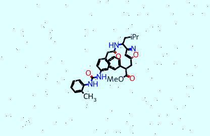 COC(=O)C(Cc1cc(C(CC(C)C)NC(=O)Cc2ccc(NC(=O)Nc3ccccc3C)cc2)no1)c1ccccc1